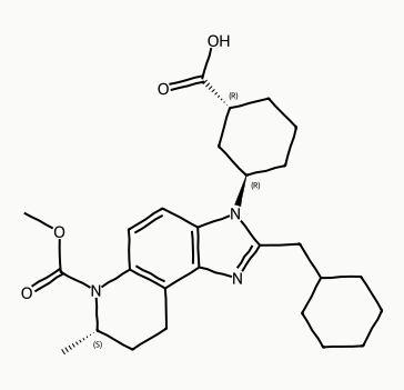 COC(=O)N1c2ccc3c(nc(CC4CCCCC4)n3[C@@H]3CCC[C@@H](C(=O)O)C3)c2CC[C@@H]1C